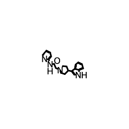 O=C(CN1CCC(c2c[nH]c3ccccc23)CC1)Nc1ccccn1